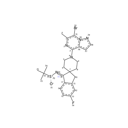 Cc1nc(N2CCC3(CC2)Cc2cc(F)ccc2/C3=N\[S@+]([O-])C(C)(C)C)c2ccnn2c1Br